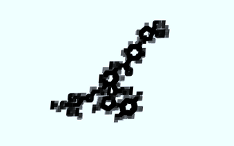 CC1(O)CCN(c2cnc(C(=O)Nc3cnc(NCOCC[Si](C)(C)C)c(C(=N)N4C[C@@H](F)C[C@@H]4c4cc(F)ccc4F)c3)cn2)C1